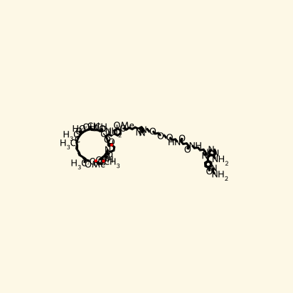 CO[C@H]1C[C@@H]2CC[C@@H](C)[C@@](O)(O2)C(=O)C(=O)N2CCCC[C@H]2C(=O)O[C@H]([C@H](N)C[C@@H]2CC[C@@H](OCCCCc3cn(CCOCCOCCOCCNC(=O)CCC(=O)NCCCCn4nc(-c5ccc6oc(N)nc6c5)c5c(N)ncnc54)nn3)[C@H](OC)C2)CC(=O)[C@H](C)/C=C(\C)[C@@H](O)[C@@H](O)C(=O)[C@H](C)C[C@H](C)/C=C/C=C/C=C/1C